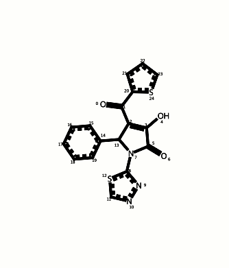 O=C(C1=C(O)C(=O)N(c2nncs2)C1c1ccccc1)c1cccs1